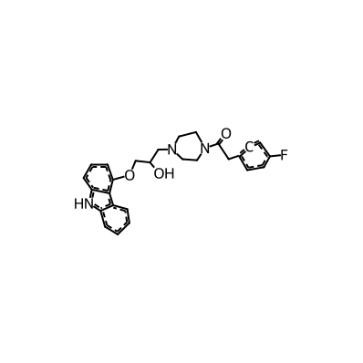 O=C(Cc1ccc(F)cc1)N1CCN(CC(O)COc2cccc3[nH]c4ccccc4c23)CC1